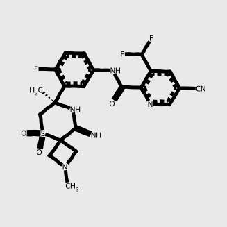 CN1CC2(C1)C(=N)N[C@](C)(c1cc(NC(=O)c3ncc(C#N)cc3C(F)F)ccc1F)CS2(=O)=O